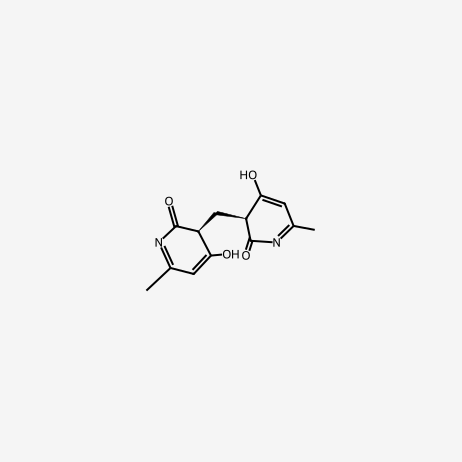 CC1=NC(=O)[C@@H](C[C@@H]2C(=O)N=C(C)C=C2O)C(O)=C1